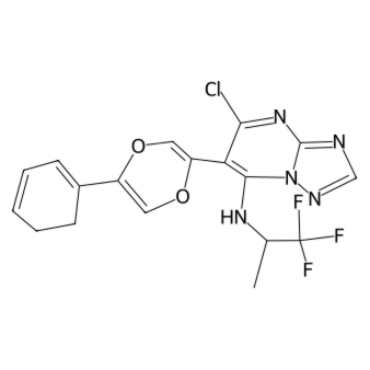 CC(Nc1c(C2=COC(C3=CC=CCC3)=CO2)c(Cl)nc2ncnn12)C(F)(F)F